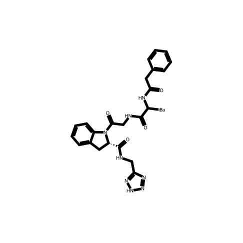 CCC(C)C(NC(=O)Cc1ccccc1)C(=O)NCC(=O)N1c2ccccc2C[C@H]1C(=O)NCc1nn[nH]n1